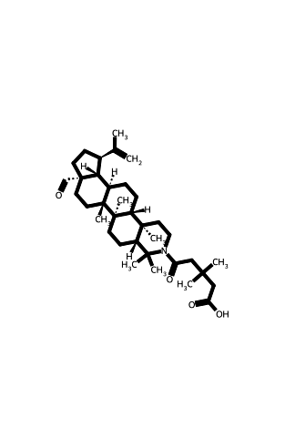 C=C(C)[C@@H]1CC[C@]2(C=O)CC[C@]3(C)[C@H](CC[C@@H]4[C@@]5(C)CCN(C(=O)CC(C)(C)CC(=O)O)C(C)(C)[C@@H]5CC[C@]43C)[C@@H]12